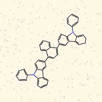 C1=c2c(n(-c3ccccc3)c3ccc(-c4ccc(-c5ccc6c(c5)c5ccccc5n6-c5ccccc5)c5ccccc45)cc23)=CCC1